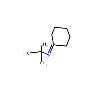 CC(C)(C)N=C1CCCCC1